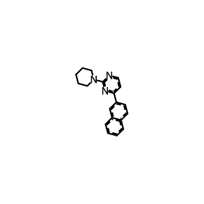 c1ccc2cc(-c3ccnc(N4CCCCC4)n3)ccc2c1